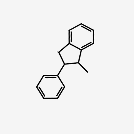 CC1c2ccccc2[C]C1c1ccccc1